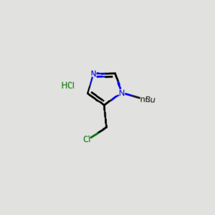 CCCCn1cncc1CCl.Cl